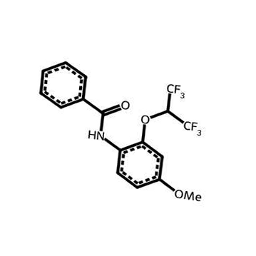 COc1ccc(NC(=O)c2ccccc2)c(OC(C(F)(F)F)C(F)(F)F)c1